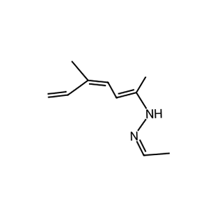 C=C/C(C)=C\C=C(/C)N/N=C\C